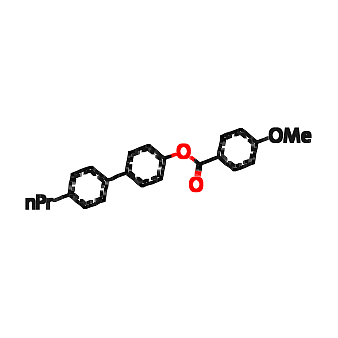 CCCc1ccc(-c2ccc(OC(=O)c3ccc(OC)cc3)cc2)cc1